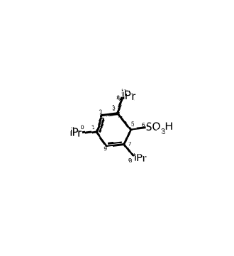 CC(C)C1=CC(C(C)C)C(S(=O)(=O)O)C(C(C)C)=C1